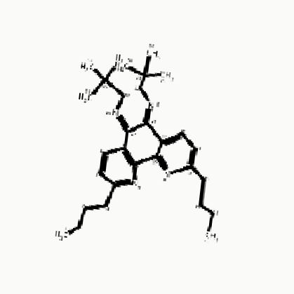 CCCCc1ccc2c(n1)-c1nc(CCCC)ccc1C(=N/CC(C)(C)C)/C2=N\CC(C)(C)C